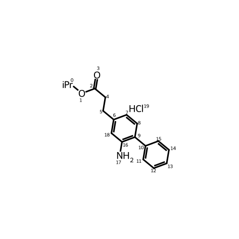 CC(C)OC(=O)CCc1ccc(-c2ccccc2)c(N)c1.Cl